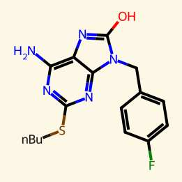 CCCCSc1nc(N)c2nc(O)n(Cc3ccc(F)cc3)c2n1